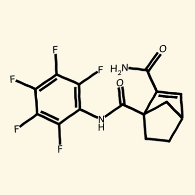 NC(=O)C1=CC2CCC1(C(=O)Nc1c(F)c(F)c(F)c(F)c1F)C2